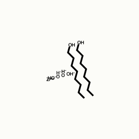 CCCCCCCCO.CCCCCCCCO.[OH-].[OH-].[OH-].[OH-].[Zr+4]